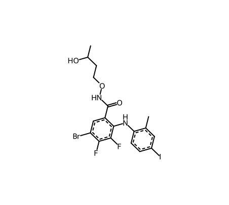 Cc1cc(I)ccc1Nc1c(C(=O)NOCCC(C)O)cc(Br)c(F)c1F